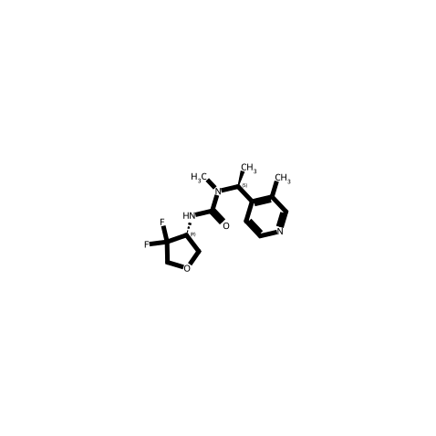 Cc1cnccc1[C@H](C)N(C)C(=O)N[C@@H]1COCC1(F)F